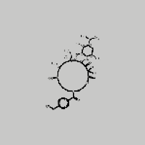 COc1ccc(C(=O)N2CCCN(C)C[C@H](C)C[C@@](C)(OC)[C@H](O[C@@H]3O[C@H](C)C[C@H](N(C)C)[C@H]3O)[C@@H](C)C(=O)C(C)(C)C(=O)OCC2)cc1